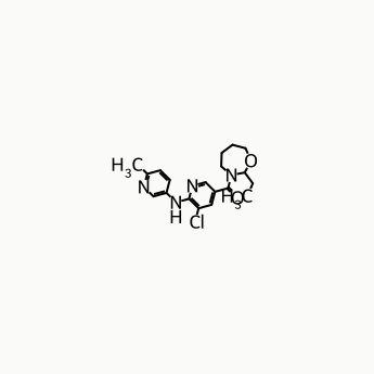 CCC1OCCCCN1C(=O)c1cnc(Nc2ccc(C)nc2)c(Cl)c1